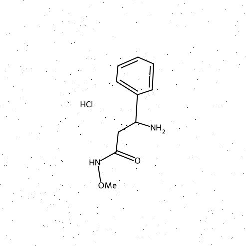 CONC(=O)CC(N)c1ccccc1.Cl